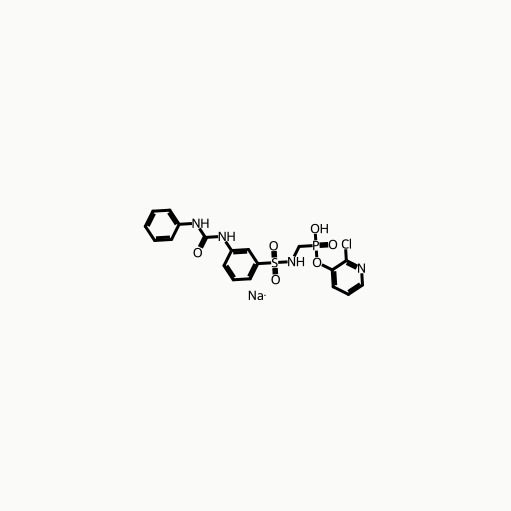 O=C(Nc1ccccc1)Nc1cccc(S(=O)(=O)NCP(=O)(O)Oc2cccnc2Cl)c1.[Na]